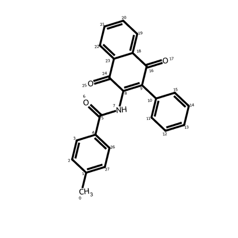 Cc1ccc(C(=O)NC2=C(c3ccccc3)C(=O)c3ccccc3C2=O)cc1